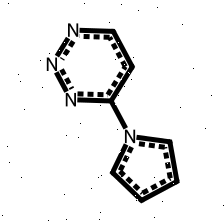 c1ccn(-c2ccnnn2)c1